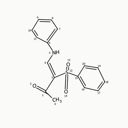 CC(=O)C(=CNc1ccccc1)S(=O)(=O)c1ccccc1